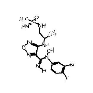 [H]/N=C(/c1nonc1NC(C)CNS(C)(=N)=O)N(O)c1ccc(F)c(Br)c1